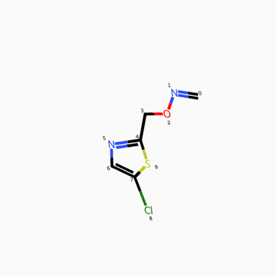 C=NOCc1ncc(Cl)s1